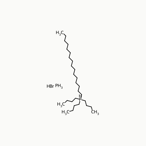 Br.CCCCCCCCCCCCCCCC[PH](CCCC)(CCCC)CCCC.P